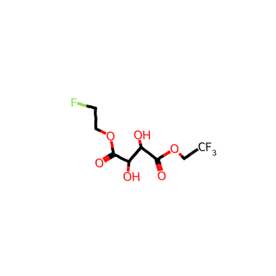 O=C(OCCF)C(O)C(O)C(=O)OCC(F)(F)F